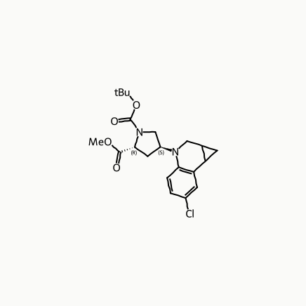 COC(=O)[C@H]1C[C@H](N2CC3CC3c3cc(Cl)ccc32)CN1C(=O)OC(C)(C)C